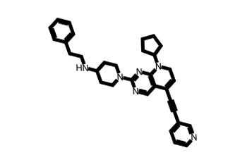 C(#Cc1cccnc1)C1=CCN(C2CCCC2)c2nc(N3CCC(NCCc4ccccc4)CC3)ncc21